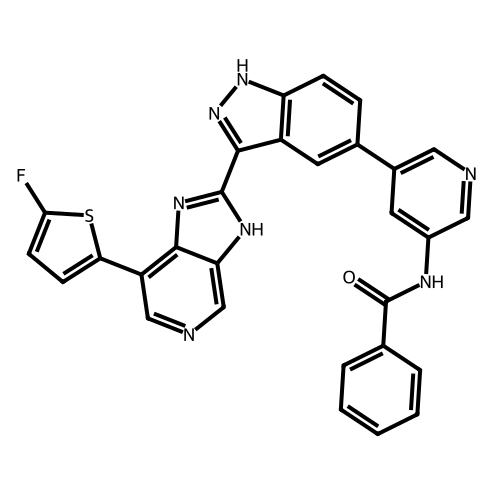 O=C(Nc1cncc(-c2ccc3[nH]nc(-c4nc5c(-c6ccc(F)s6)cncc5[nH]4)c3c2)c1)c1ccccc1